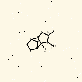 CC(C)C1[C@@H]2C3CCC(C3)C2CN1C